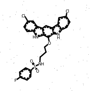 O=S(=O)(NCCCOc1c2[nH]c3ccc(Cl)cc3c2cc2c1[nH]c1ccc(Cl)cc12)c1ccc(F)cc1